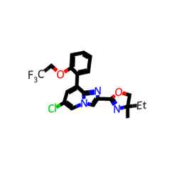 CCC1(C)COC(c2cn3cc(Cl)cc(-c4ccccc4OCC(F)(F)F)c3n2)=N1